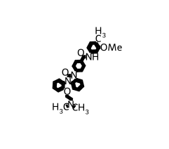 COc1cc(NC(=O)C2CCC(n3c(=O)n(-c4ccccc4OCCN(C)C)c4ccccc43)CC2)ccc1C